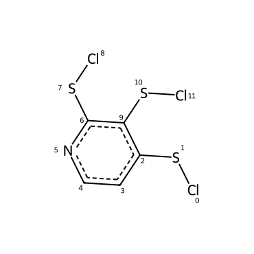 ClSc1ccnc(SCl)c1SCl